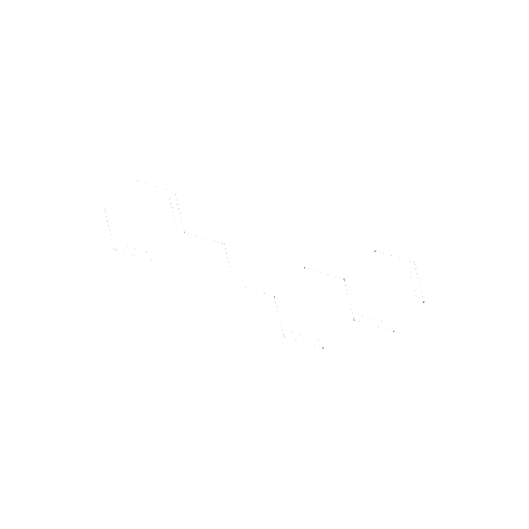 [c]1c(OCc2ccccc2)ccc2ccccc12